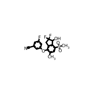 Cc1cc(S(C)(=O)=O)c2c(c1Oc1cc(F)cc(C#N)c1)CC(F)(F)C2O